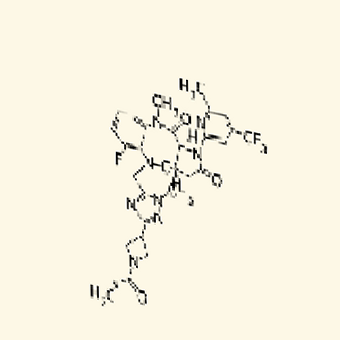 C=CC(=O)N1CC(c2nc(CN3C[C@H]4CC(=O)N(c5cc(C(F)(F)F)cc(C)n5)[C@@H]4C(=O)N(C)c4cccc(F)c43)n(C)n2)C1